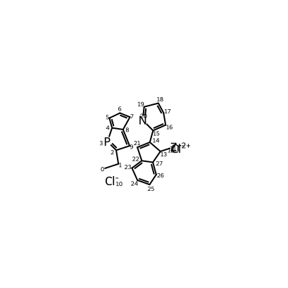 CCC1=PC2=CC=CC2=C1.[Cl-].[Cl-].[Zr+2][CH]1C(c2ccccn2)=Cc2ccccc21